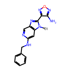 CCn1c(-c2nonc2N)nc2cnc(NCc3ccccc3)cc21